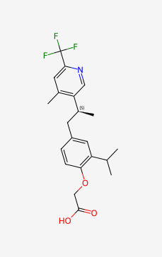 Cc1cc(C(F)(F)F)ncc1[C@@H](C)Cc1ccc(OCC(=O)O)c(C(C)C)c1